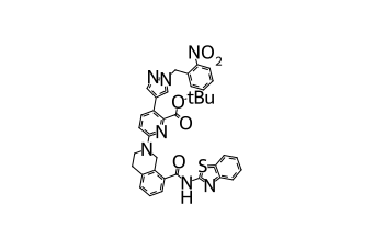 CC(C)(C)OC(=O)c1nc(N2CCc3cccc(C(=O)Nc4nc5ccccc5s4)c3C2)ccc1-c1cnn(Cc2ccccc2[N+](=O)[O-])c1